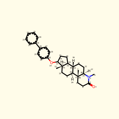 CN1C(=O)CC[C@]2(C)[C@H]3CC[C@]4(C)C(Oc5ccc(-c6ccccc6)cc5)CC[C@H]4[C@@H]3CC[C@@H]12